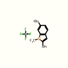 CCCc1cc2ccc(C(C)(C)C)cc2[s+]1C(F)(F)F.F[B-](F)(F)F